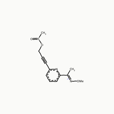 CO/N=C(\C)c1cccc(C#CCOS(C)=O)n1